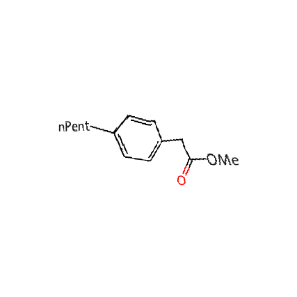 CCCCCc1ccc(CC(=O)OC)cc1